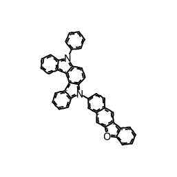 c1ccc(-n2c3ccccc3c3c4c5ccccc5n(-c5ccc6cc7c(cc6c5)oc5ccccc57)c4ccc32)cc1